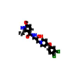 O=C(NC[C@@H](O)CN1CCC(Oc2ccc(Cl)c(Cl)c2)CC1)c1ccc(=O)[nH]c1C(F)(F)F